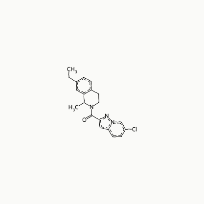 CCc1ccc2c(c1)C(C)N(C(=O)c1cc3ccc(Cl)cn3n1)CC2